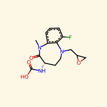 CN1C(=O)[C@@H](NC(=O)O)CCN(CC2CO2)c2c(F)cccc21